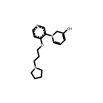 OC1=CC=CN(c2cnccc2OCCCN2CCCC2)C1